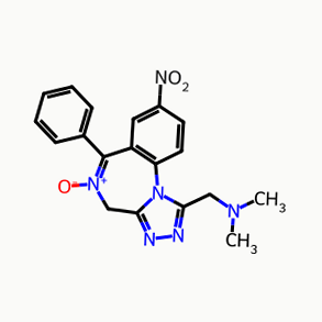 CN(C)Cc1nnc2n1-c1ccc([N+](=O)[O-])cc1C(c1ccccc1)=[N+]([O-])C2